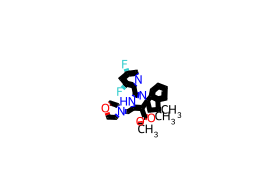 COC(=O)C1=C(CN2CCOCC2)NC(c2ncc(F)cc2F)=NC12CC(C)(C)c1ccccc12